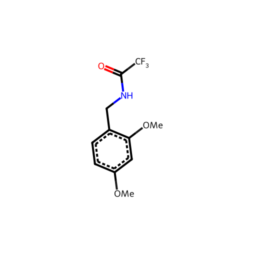 COc1ccc(CNC(=O)C(F)(F)F)c(OC)c1